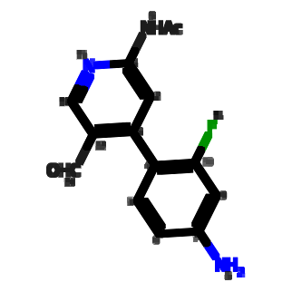 CC(=O)Nc1cc(-c2ccc(N)cc2F)c(C=O)cn1